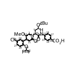 COc1cn([C@@H](CCOC(C)(C)C)C(=O)Nc2ccc(C(=O)O)cc2)c(=O)cc1-c1cc(Cl)ccc1OC(F)F